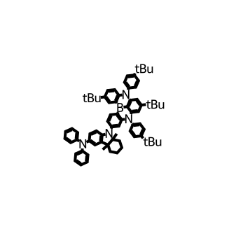 CC(C)(C)c1ccc(N2c3ccc(C(C)(C)C)cc3B3c4ccc(N5c6ccc(N(c7ccccc7)c7ccccc7)cc6C6(C)CCCCC56C)cc4N(c4ccc(C(C)(C)C)cc4)c4cc(C(C)(C)C)cc2c43)cc1